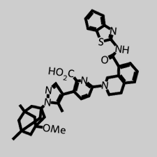 COC12CC3(C)CC(C)(C1)CC(n1ncc(-c4ccc(N5CCc6cccc(C(=O)Nc7nc8ccccc8s7)c6C5)nc4C(=O)O)c1C)(C3)C2